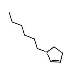 CCCCCCN1C=CCC1